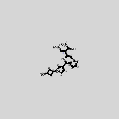 CN/C=C(\C(=N)[N+](=O)[O-])c1cn2nccc2c(-c2cnn(C3CC(C#N)C3)c2)n1